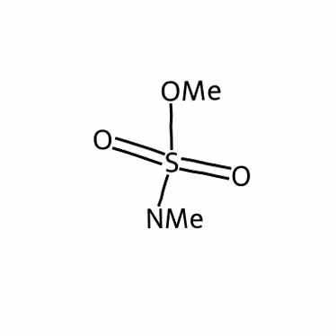 [CH2]NS(=O)(=O)OC